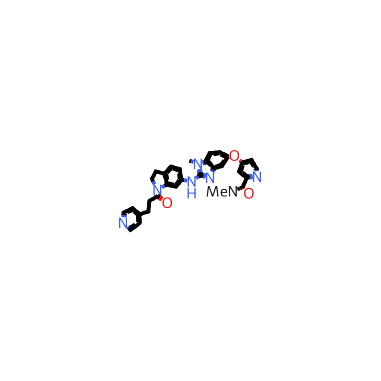 CNC(=O)c1cc(Oc2ccc3c(c2)nc(Nc2ccc4c(c2)N(C(=O)CCc2ccncc2)CC4)n3C)ccn1